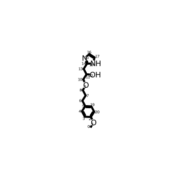 COc1ccc(CCCOCC(O)Cc2ncc[nH]2)cc1